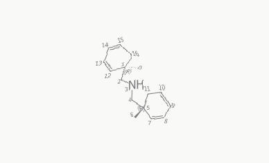 C[C@]1(CNC[C@@]2(C)C=CC=CC2)C=CC=CC1